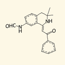 CC1(C)Cc2ccc(NC=O)cc2C(=CC(=O)c2ccccc2)N1